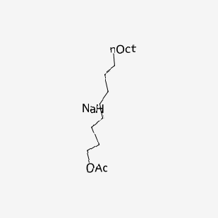 CCCCCCCCCCCCCCCCOC(C)=O.[NaH]